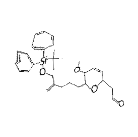 C=C(CCCC1OC(CC=O)C=CC1OC)CO[Si](c1ccccc1)(c1ccccc1)C(C)(C)C